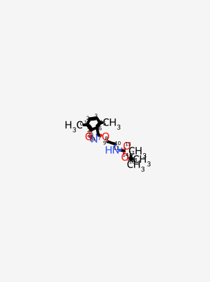 Cc1ccc(C)c2c(OCCNC(=O)OC(C)(C)C)noc12